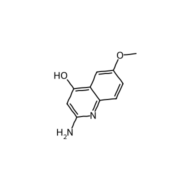 COc1ccc2nc(N)cc(O)c2c1